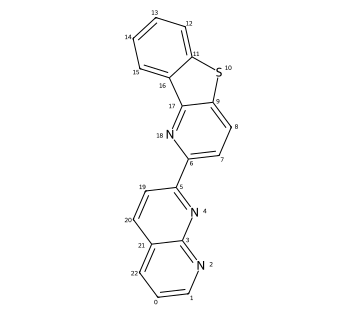 c1cnc2nc(-c3ccc4sc5ccccc5c4n3)ccc2c1